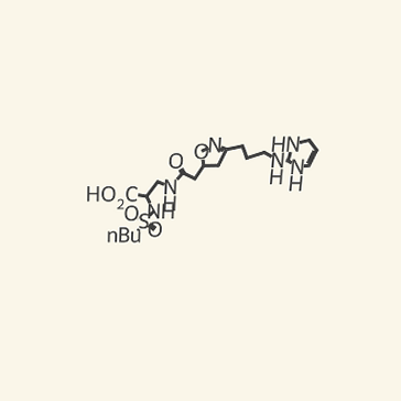 CCCCS(=O)(=O)NC(CNC(=O)CC1CC(CCCNC2NC=CCN2)=NO1)C(=O)O